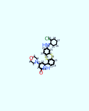 O=c1cc(N2CCOCC2)cc(-c2cccc3c2Sc2ccc(NC4CCCCC4Cl)cc2S3)[nH]1